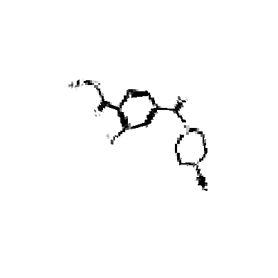 COC(=O)c1ccc(C(=O)N2CCB(C#N)CC2)cc1C